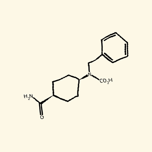 NC(=O)[C@H]1CC[C@@H](N(Cc2ccccc2)C(=O)O)CC1